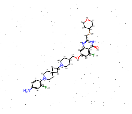 Nc1ccc(N2CCC3(CC2)CC(N2CCC(COc4cc(F)c5c(=O)[nH]c(CSC6CCOCC6)nc5c4)CC2)C3)c(F)c1